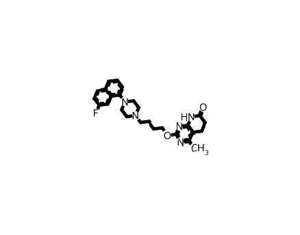 Cc1nc(OCCCCN2CCN(c3cccc4ccc(F)cc34)CC2)nc2c1CCC(=O)N2